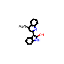 CNc1cc(-c2c(O)[nH]c3ccccc23)nc2ccccc12